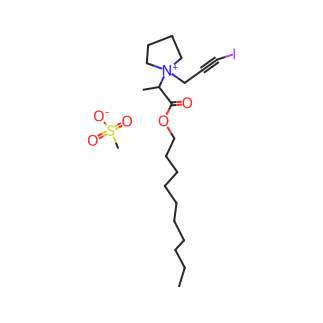 CCCCCCCCCCOC(=O)C(C)[N+]1(CC#CI)CCCC1.CS(=O)(=O)[O-]